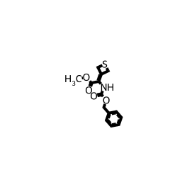 COC(=O)C(NC(=O)OCc1ccccc1)=C1CSC1